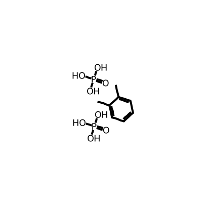 Cc1ccccc1C.O=P(O)(O)O.O=P(O)(O)O